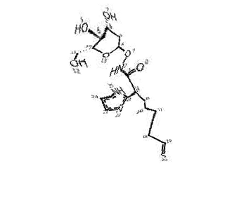 O=C(NOC1C[C@@H](O)[C@H](O)[C@@H](CO)O1)C(CCCCC=S)c1ncc[nH]1